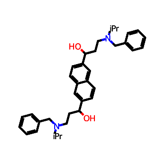 CC(C)N(CCC(O)c1ccc2cc(C(O)CCN(Cc3ccccc3)C(C)C)ccc2c1)Cc1ccccc1